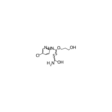 NC(O)=S.OCCCOC(=S)Nc1ccc(Cl)cn1